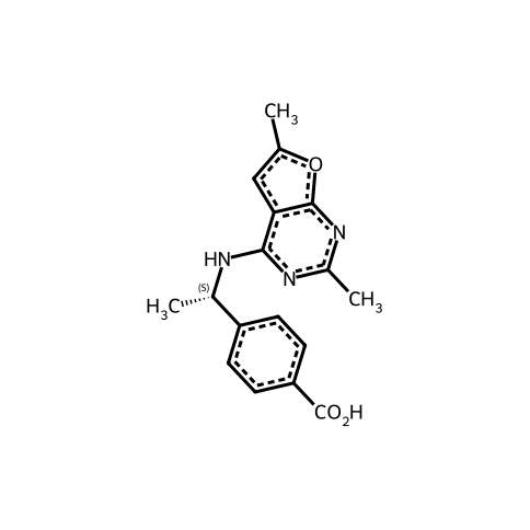 Cc1nc(N[C@@H](C)c2ccc(C(=O)O)cc2)c2cc(C)oc2n1